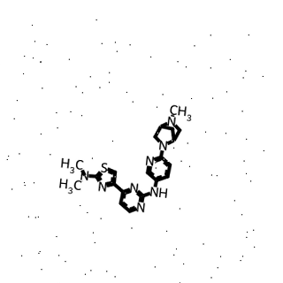 CN(C)c1nc(-c2ccnc(Nc3ccc(N4CC5CC4CN5C)nc3)n2)cs1